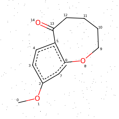 COc1ccc2c(c1)OCCCCC2=O